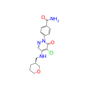 NC(=O)c1ccc(-n2ncc(NC[C@@H]3CCCOC3)c(Cl)c2=O)cc1